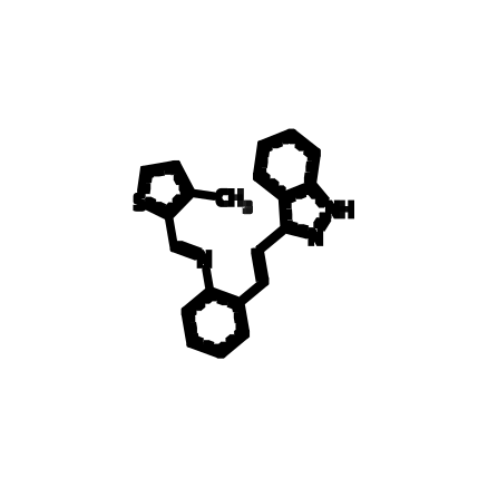 Cc1ccsc1C=Nc1ccccc1C=Cc1n[nH]c2ccccc12